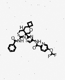 O=C(NC1=NC2(c3nc(NC(=O)c4ccc(OC(F)F)cn4)cs3)COC3(CCC3)C[C@@H]2CS1)c1ccccc1